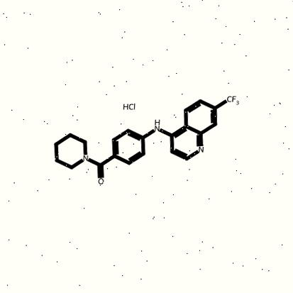 Cl.O=C(c1ccc(Nc2ccnc3cc(C(F)(F)F)ccc23)cc1)N1CCCCC1